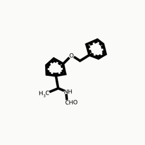 CC(NC=O)c1cccc(OCc2ccccc2)c1